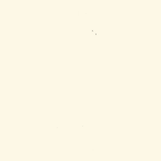 O=C(O)CCCCNO